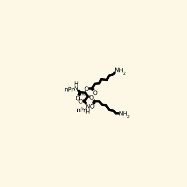 CCCNC(=O)[C@H](OC(=O)CCCCCCN)[C@@H](OC(=O)CCCCCCN)C(=O)NCCC